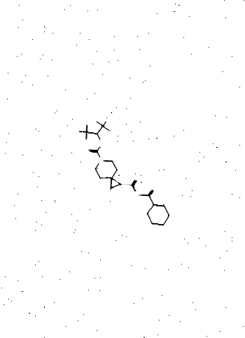 O=C(NC(=O)[C@H]1CC12CCN(C(=O)OC(C(F)(F)F)C(F)(F)F)CC2)C1CCCCC1